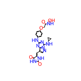 O=C(COc1ccc(Nc2nc(NC3CC3)n3ncc(/C=C4\NC(=O)NC4=O)c3n2)cc1)NO